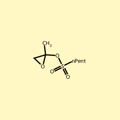 CCCCCS(=O)(=O)OC1(C)CO1